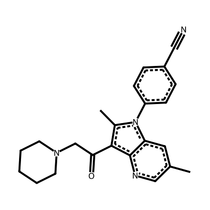 Cc1cnc2c(C(=O)CN3CCCCC3)c(C)n(-c3ccc(C#N)cc3)c2c1